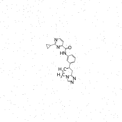 C[C@H](Cc1nncn1C)c1cccc(NC(=O)c2ccnc(C3CC3)n2)c1